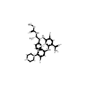 C[C@H](NC(=O)OC(C)(C)C)[C@H](Nc1nc(Nc2cnc(N3CCOCC3)c(F)c2)c(C(N)=O)cc1F)c1cccs1